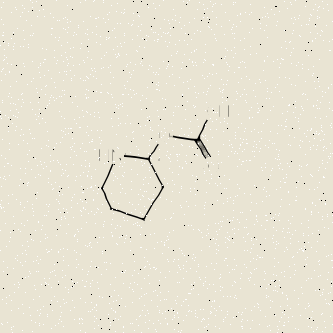 CC(=O)OC1CCCCN1